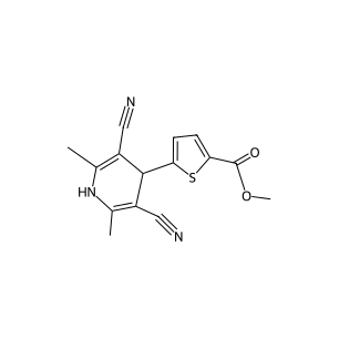 COC(=O)c1ccc(C2C(C#N)=C(C)NC(C)=C2C#N)s1